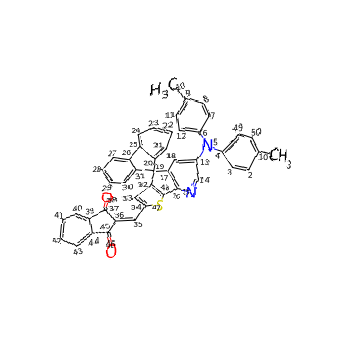 Cc1ccc(N(c2ccc(C)cc2)c2cnc3c(c2)C2(c4ccccc4-c4ccccc42)c2cc(C=C4C(=O)c5ccccc5C4=O)sc2-3)cc1